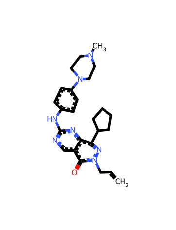 C=CCn1nc(C2CCCC2)c2nc(Nc3ccc(N4CCN(C)CC4)cc3)ncc2c1=O